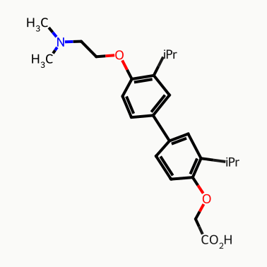 CC(C)c1cc(-c2ccc(OCC(=O)O)c(C(C)C)c2)ccc1OCCN(C)C